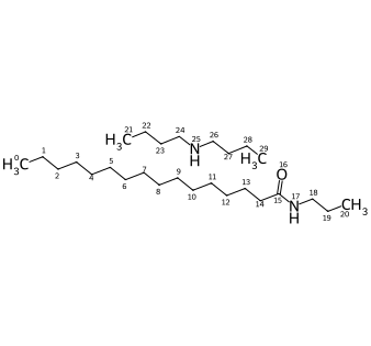 CCCCCCCCCCCCCCCC(=O)NCCC.CCCCNCCCC